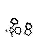 NC(=O)C1(Nc2ccccc2)CCN([C@H]2CCCc3ccccc32)CC1